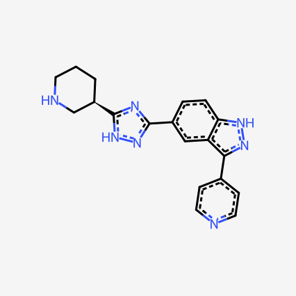 c1cc(-c2n[nH]c3ccc(-c4n[nH]c([C@@H]5CCCNC5)n4)cc23)ccn1